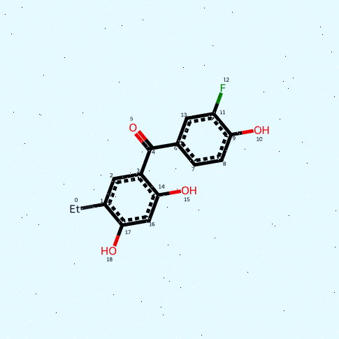 CCc1cc(C(=O)c2ccc(O)c(F)c2)c(O)cc1O